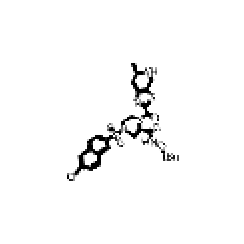 CC1Cc2nc(C(=O)N3CCN(S(=O)(=O)c4ccc5cc(Cl)ccc5c4)CC3C(=O)NOC(C)(C)C)sc2CN1